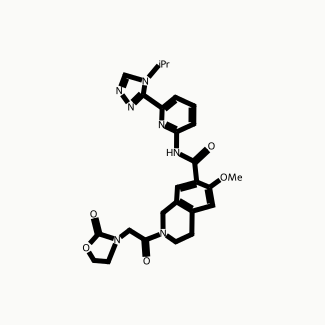 COc1cc2c(cc1C(=O)Nc1cccc(-c3nncn3C(C)C)n1)CN(C(=O)CN1CCOC1=O)CC2